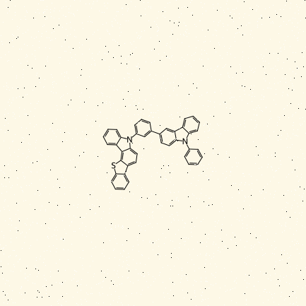 c1ccc(-n2c3ccccc3c3cc(-c4cccc(-n5c6ccccc6c6c7sc8ccccc8c7ccc65)c4)ccc32)cc1